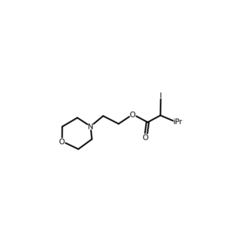 CC(C)C(I)C(=O)OCCN1CCOCC1